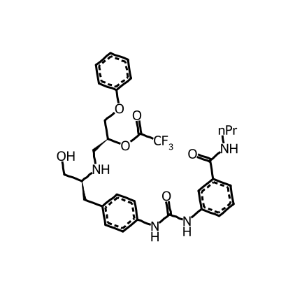 CCCNC(=O)c1cccc(NC(=O)Nc2ccc(C[C@@H](CO)NC[C@@H](COc3ccccc3)OC(=O)C(F)(F)F)cc2)c1